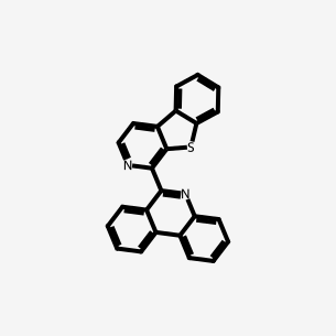 c1ccc2c(c1)nc(-c1nccc3c1sc1ccccc13)c1ccccc12